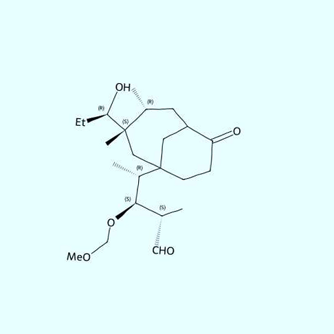 CC[C@@H](O)[C@@]1(C)CC2([C@@H](C)[C@H](OCOC)[C@H](C)C=O)CCC(=O)C(C[C@H]1C)C2